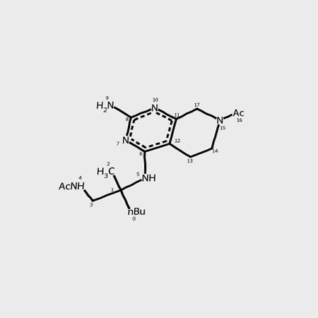 CCCCC(C)(CNC(C)=O)Nc1nc(N)nc2c1CCN(C(C)=O)C2